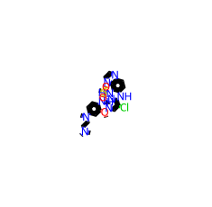 COc1cc(N(C)CCN(C)C)ccc1Nc1ncc(Cl)c(Nc2ccc3nccnc3c2NS(C)(=O)=O)n1